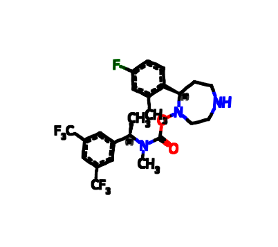 Cc1cc(F)ccc1[C@H]1CCNCCN1OC(=O)N(C)[C@H](C)c1cc(C(F)(F)F)cc(C(F)(F)F)c1